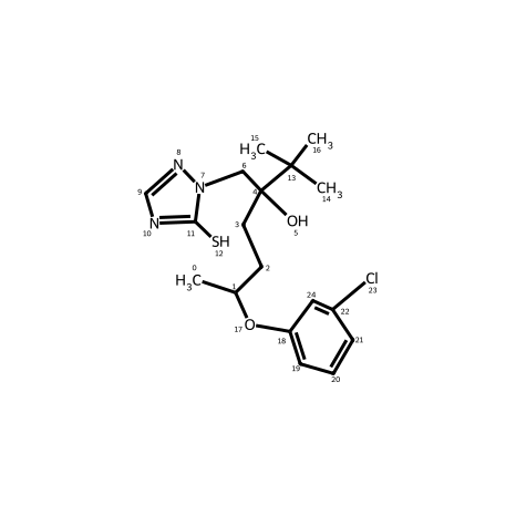 CC(CCC(O)(Cn1ncnc1S)C(C)(C)C)Oc1cccc(Cl)c1